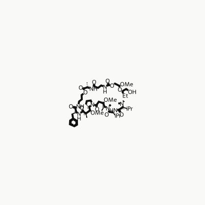 CCC(CO)OC(COC(=O)NCCC(=O)N[C@@H](C)C(=O)OCCCNC(=O)[C@H](Cc1ccccc1)NC(=O)[C@H](C)[C@@H](OC)[C@@H]1CCCN1C(=O)C[C@@H](OC)[C@H](C)N(C)C(=O)[C@@H](NC(=O)[C@H](C(C)C)N(C)C)C(C)C)OC